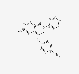 N#Cc1ccc(Nc2nc(-c3cccnc3)nc3ccc(Cl)cc23)cc1